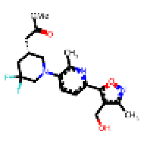 COC(=O)C[C@@H]1CN(c2ccc(-c3onc(C)c3CO)nc2C)CC(F)(F)C1